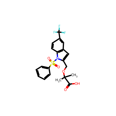 CC(C)(OCc1cc2cc(C(F)(F)F)ccc2n1S(=O)(=O)c1ccccc1)C(=O)O